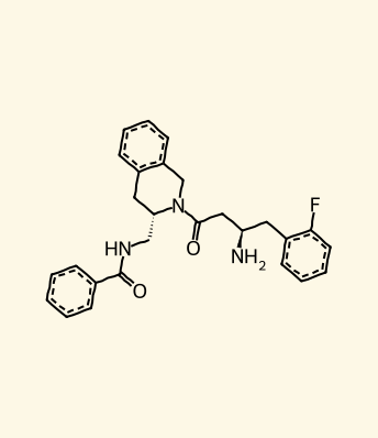 N[C@@H](CC(=O)N1Cc2ccccc2C[C@H]1CNC(=O)c1ccccc1)Cc1ccccc1F